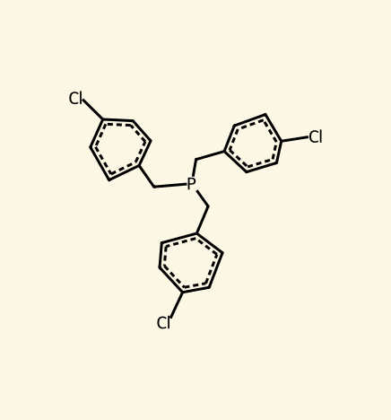 Clc1ccc(CP(Cc2ccc(Cl)cc2)Cc2ccc(Cl)cc2)cc1